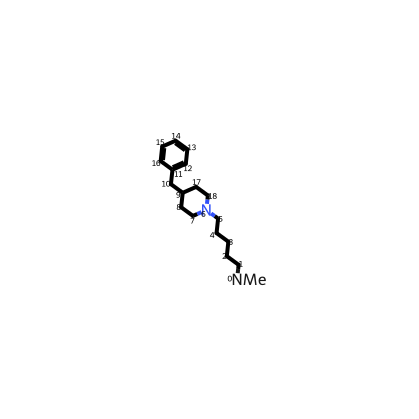 CNCCCCCN1CCC(Cc2ccccc2)CC1